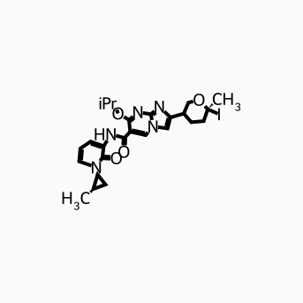 CC(C)Oc1nc2nc(C3CC[C@](C)(I)OC3)cn2cc1C(=O)Nc1cccn([C@@H]2C[C@H]2C)c1=O